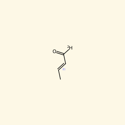 [2H]C(=O)/C=C/C